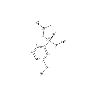 [2H]Oc1cccc([C@]([2H])(CN([2H])C)O[2H])c1